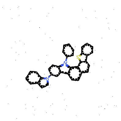 c1ccc(-n2c3ccc(-n4ccc5ccccc54)cc3c3ccc4ccc5c6ccccc6sc5c4c32)cc1